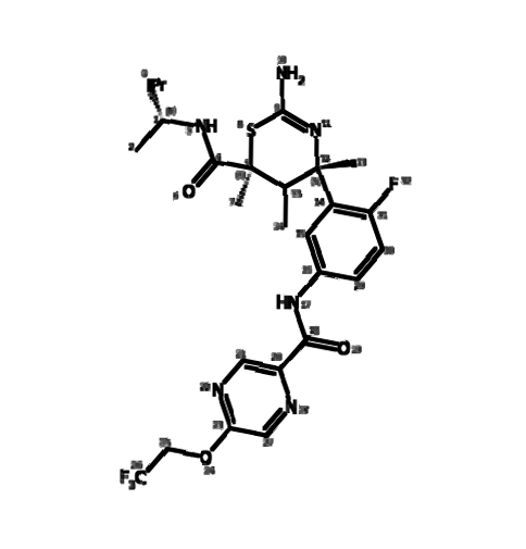 CC(C)[C@@H](C)NC(=O)[C@@]1(C)SC(N)=N[C@](C)(c2cc(NC(=O)c3cnc(OCC(F)(F)F)cn3)ccc2F)C1C